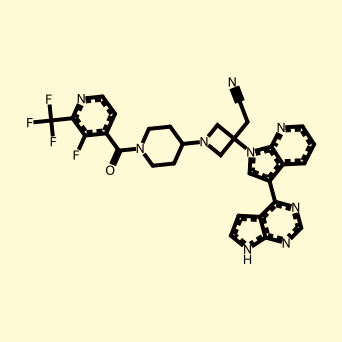 N#CCC1(n2cc(-c3ncnc4[nH]ccc34)c3cccnc32)CN(C2CCN(C(=O)c3ccnc(C(F)(F)F)c3F)CC2)C1